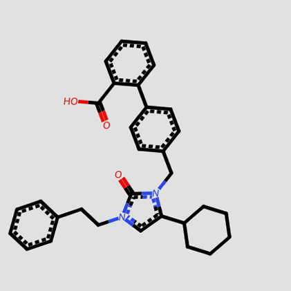 O=C(O)c1ccccc1-c1ccc(Cn2c(C3CCCCC3)cn(CCc3ccccc3)c2=O)cc1